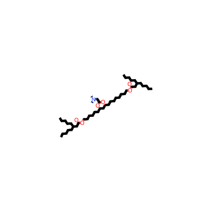 CCCCCC(CCCCC)CC(=O)OCCCCCCCCC(CCCCCCCCOC(=O)CC(CCCCC)CCCCC)OC(=O)CN(C)C